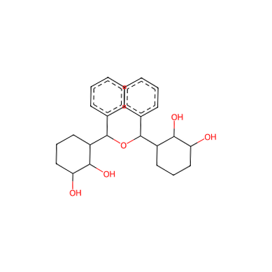 OC1CCCC(C(OC(c2ccccc2)C2CCCC(O)C2O)c2ccccc2)C1O